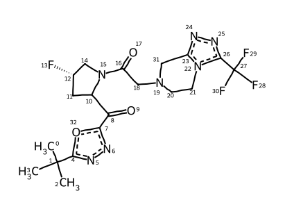 CC(C)(C)c1nnc(C(=O)C2C[C@H](F)CN2C(=O)CN2CCn3c(nnc3C(F)(F)F)C2)o1